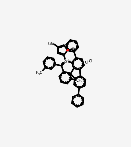 CC(C)C1C=C(C(C)(C)C)C=[C]1[Zr+2](=[C](c1cccc(C(F)(F)F)c1)c1cccc(C(F)(F)F)c1)[c]1c(-c2ccccc2)ccc2c1Cc1cc(-c3ccccc3)ccc1-2.[Cl-].[Cl-]